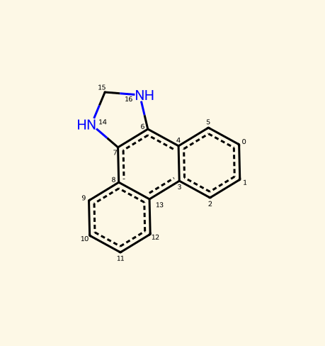 c1ccc2c(c1)c1c(c3ccccc32)NCN1